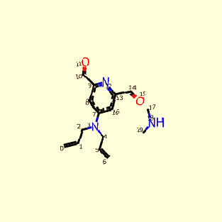 C=CCN(CC=C)c1cc(C=O)nc(C=O)c1.CNC